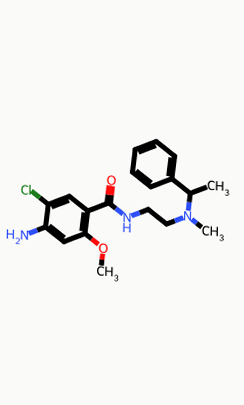 COc1cc(N)c(Cl)cc1C(=O)NCCN(C)C(C)c1ccccc1